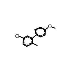 COc1ccc(-c2cc(Cl)ccc2C)cc1